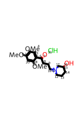 COc1cc(OC)c(C(=O)CCCN2CCCC(O)C2)c(OC)c1.Cl